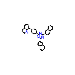 C1=Cc2ccc(-c3nc(-c4ccc5ccccc5c4)nc(C4C=CC(c5cccc6cccnc56)=CC4)n3)cc2CC1